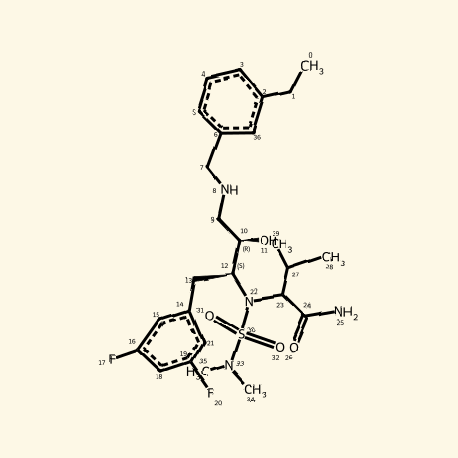 CCc1cccc(CNC[C@@H](O)[C@H](Cc2cc(F)cc(F)c2)N(C(C(N)=O)C(C)C)S(=O)(=O)N(C)C)c1